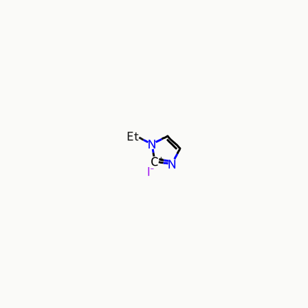 CCN1[C+]=NC=C1.[I-]